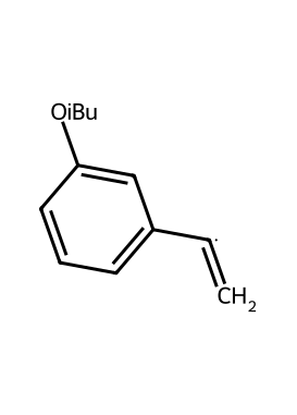 C=[C]c1cccc(OCC(C)C)c1